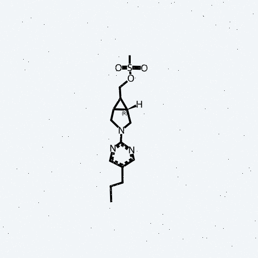 CCCc1cnc(N2CC3C(COS(C)(=O)=O)[C@@H]3C2)nc1